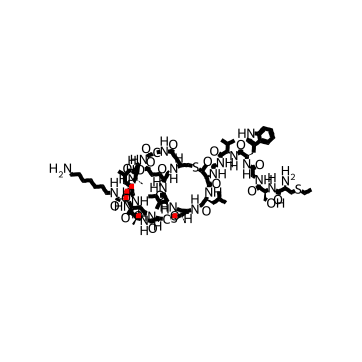 CCSC[C@H](N)C(=O)N[C@@H](CO)C(=O)NCC(=O)N[C@@H](Cc1c[nH]c2ccccc12)C(=O)N[C@H](C(=O)NC(=O)N[C@H]1C(=O)N[C@@H](CC(C)C)C(=O)N[C@H]2C(=O)N[C@@H](C(C)CC)C(=O)N[C@@H](CCC(=O)O)C(=O)N[C@@H](CSC1C)C(=O)NCC(=O)N[C@@H]1C(=O)N[C@@H](CC(C)C)C(=O)N[C@@H](C(C)C)C(=O)N[C@@H](CS[C@H]2C)C(=O)N[C@@H](C)C(=O)N[C@H](C(=O)NCCCCCCCN)CS[C@H]1C)C(C)C